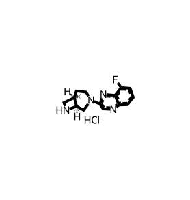 Cl.Fc1cccc2ncc(N3CC[C@@H]4CN[C@@H]4C3)nc12